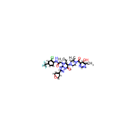 CCc1c(N2CCN(C(=O)c3ncnc(C)c3O)C(C)C2)c(=O)n2nc(C3=CCOCC3)nc2n1CC(=O)Nc1ccc(C(F)(F)F)cc1Cl